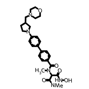 CNC(=O)C(C(=O)NO)N(C)C(=O)c1ccc(-c2ccc(N3CCC(CN4CCOCC4)C3)cc2)cc1